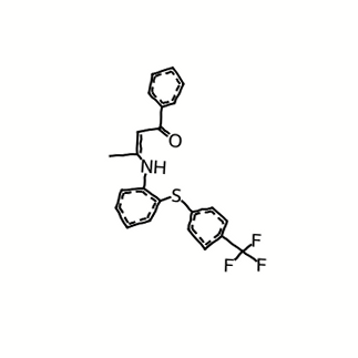 C/C(=C/C(=O)c1ccccc1)Nc1ccccc1Sc1ccc(C(F)(F)F)cc1